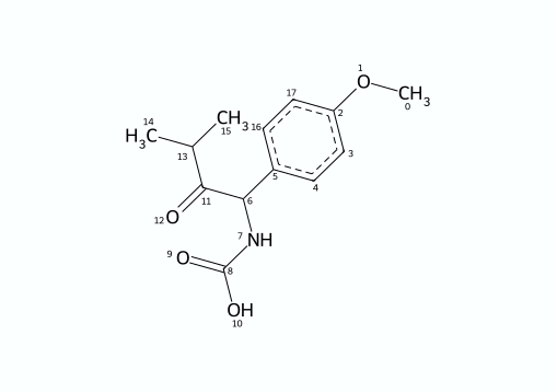 COc1ccc(C(NC(=O)O)C(=O)C(C)C)cc1